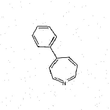 C1=CC(c2ccccc2)=CC=[N+]=C1